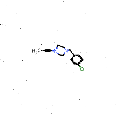 CC#CN1CCN(Cc2ccc(Cl)cc2)CC1